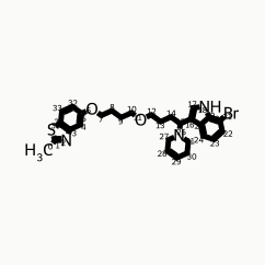 Cc1nc2cc(OCCCCOCCCC(c3c[nH]c4c(Br)cccc34)N3CC=CCC3)ccc2s1